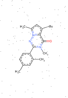 CCC(C)c1cc(C)n2nc(-c3ccc(C)cc3C)n(C)c(=O)c12